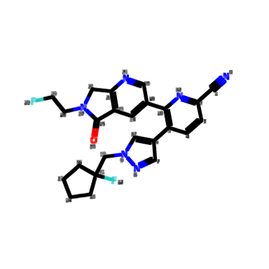 N#Cc1ccc(-c2cnn(CC3(F)CCCC3)c2)c(-c2cnc3c(c2)C(=O)N(CCF)C3)n1